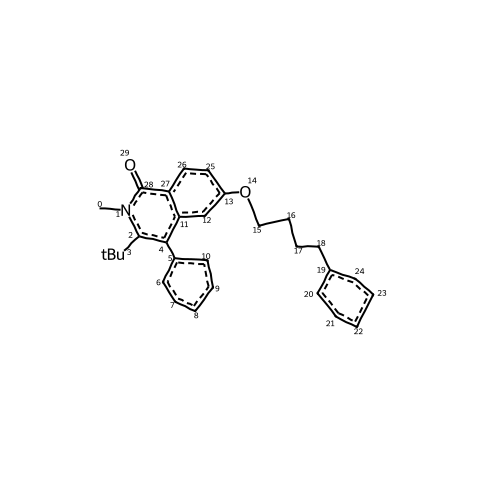 Cn1c(C(C)(C)C)c(-c2ccccc2)c2cc(OCCCCc3ccccc3)ccc2c1=O